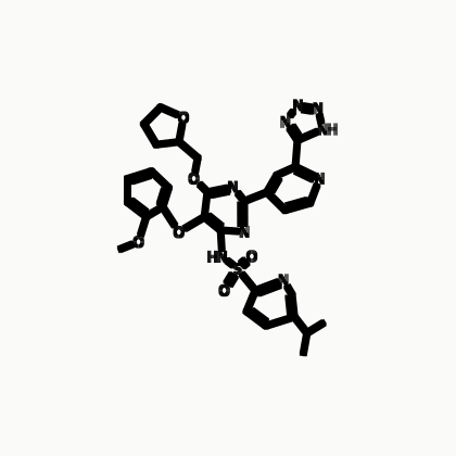 COc1ccccc1Oc1c(NS(=O)(=O)c2ccc(C(C)C)cn2)nc(-c2ccnc(-c3nnn[nH]3)c2)nc1OCC1CCCO1